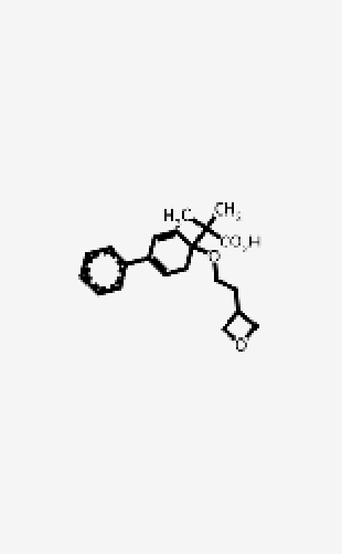 CC(C)(C(=O)O)C1(OCCC2COC2)C=CC(c2ccccc2)=CC1